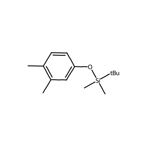 Cc1ccc(O[Si](C)(C)C(C)(C)C)cc1C